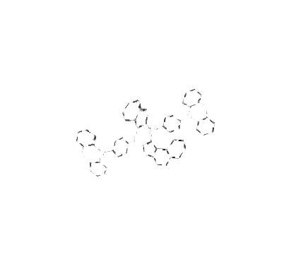 c1ccc2c(c1)Oc1ccccc1N2c1ccc(B2c3oc4ccc5ccccc5c4c3B(c3ccc(N4c5ccccc5Oc5ccccc54)cc3)c3oc4ccccc4c32)cc1